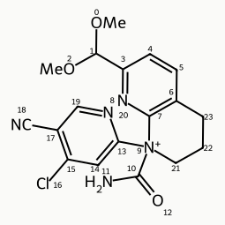 COC(OC)c1ccc2c(n1)[N+](C(N)=O)(c1cc(Cl)c(C#N)cn1)CCC2